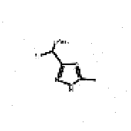 CCCCCC(CC)c1n[nH]c(C)n1